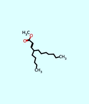 CCCCCCCC(/C=C/C(=O)OC)CCCCC